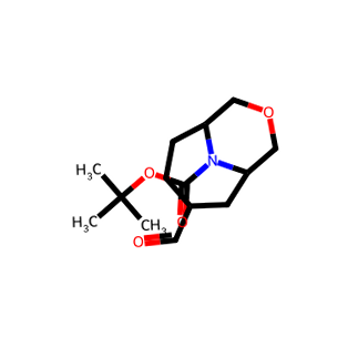 CC(C)(C)OC(=O)N1C2CCC(C=O)CC1COC2